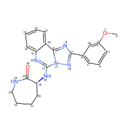 COc1cccc(-c2nc3c4ccccc4nc(N[C@H]4CCCCNC4=O)n3n2)c1